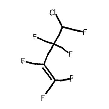 FC(F)=C(F)C(F)(F)C(F)Cl